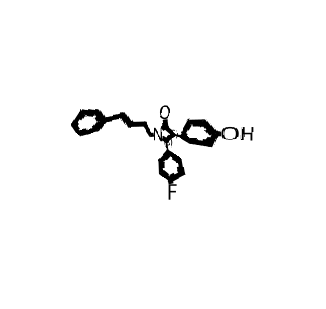 O=C1[C@@H](c2ccc(O)cc2)[C@@H](c2ccc(F)cc2)N1CCCCc1ccccc1